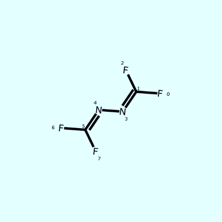 FC(F)=NN=C(F)F